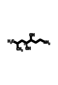 CC(C)C[C@@H](O)C(O)CCN